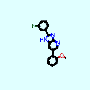 COc1ccccc1-c1cnc2nc(-c3cccc(F)c3)[nH]c2c1